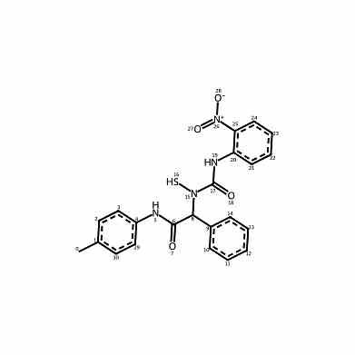 Cc1ccc(NC(=O)C(c2ccccc2)N(S)C(=O)Nc2ccccc2[N+](=O)[O-])cc1